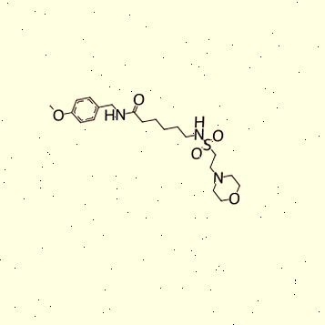 COc1ccc(CNC(=O)CCCCCNS(=O)(=O)CCN2CCOCC2)cc1